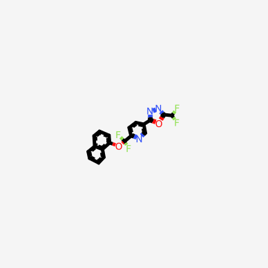 FC(F)c1nnc(-c2ccc(C(F)(F)Oc3cccc4ccccc34)nc2)o1